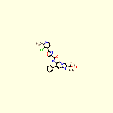 Cc1nccc(-c2nc(C(=O)Nc3cn4cc(C(C)(C)O)nc4cc3-c3ccccc3)co2)c1Cl